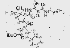 C=CCNC(=O)C(=O)C(CCC)NC(=O)[C@@H]1C2C(CN1C(=O)[C@@H](NC(=O)OCC(C)C)C1Cc3ccccc3C1)C2(C)C